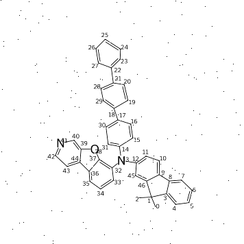 CC1(C)c2ccccc2-c2ccc(N(c3ccc(-c4ccc(-c5ccccc5)cc4)cc3)c3cccc4c3oc3cnccc34)cc21